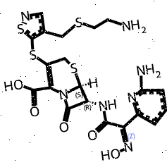 NCCSCc1cnsc1SC1=C(C(=O)O)N2C(=O)[C@@H](NC(=O)/C(=N\O)c3cccc(N)n3)[C@@H]2SC1